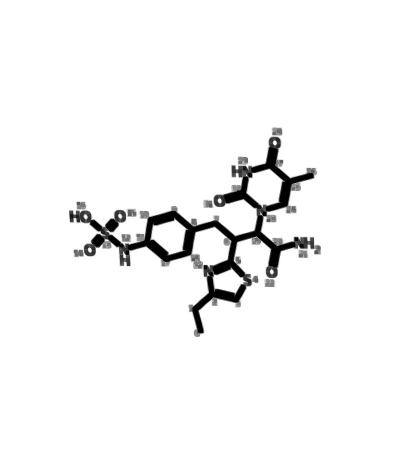 CCc1csc(C(Cc2ccc(NS(=O)(=O)O)cc2)C(C(N)=O)n2cc(C)c(=O)[nH]c2=O)n1